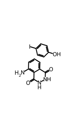 Nc1cccc2c(=O)[nH][nH]c(=O)c12.Oc1ccc(I)cc1